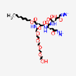 CCCCCCCCOC(=O)[C@H](CCC(=O)N[C@@H](CCC(=O)C=[N+]=[N-])C(=O)N[C@@H](CCC(=O)C=[N+]=[N-])C(=O)O)NC(=O)COCCOCCOCCOCCO